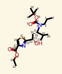 CCCN(C(=O)OC(C)(C)C)[C@@H](C[C@H](O)c1nc(C(=O)OCC)cs1)C(C)C